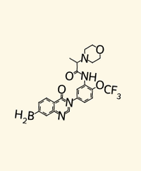 Bc1ccc2c(=O)n(-c3ccc(OC(F)(F)F)c(NC(=O)C(C)N4CCOCC4)c3)cnc2c1